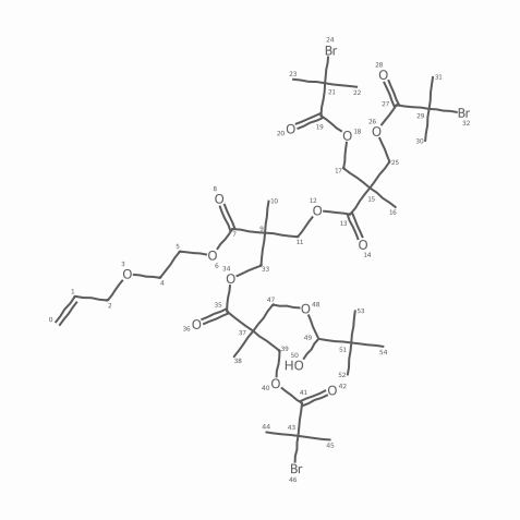 C=CCOCCOC(=O)C(C)(COC(=O)C(C)(COC(=O)C(C)(C)Br)COC(=O)C(C)(C)Br)COC(=O)C(C)(COC(=O)C(C)(C)Br)COC(O)C(C)(C)C